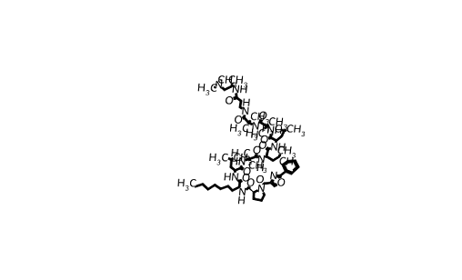 CCCCCCCCC(NC(=O)[C@@H]1CCCN1C(=O)c1coc(-c2ccccc2)n1)C(=O)NC(CC(C)C)C(=O)NC(C)(C)C(=O)NC(CC(C)C)C(=O)NC(CC(C)C)C(=O)NC(C)(C)C(=O)NC(C)(C)C(=O)NCCC(=O)NC(C)CN(C)C